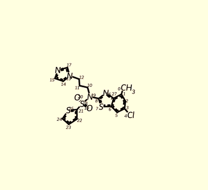 Cc1cc(Cl)cc2sc(N(CCCn3ccnc3)S(=O)(=O)c3cccs3)nc12